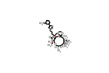 B[C@@H]1[C@@H](C)C(=O)[C@@H](C)C(=O)O[C@H](CC)[C@@]2(C)OC(=O)N(CCCCn3cc(-c4cccc(N)c4)nn3)[C@@H]2[C@@H](CCN2CCOCC2)NC[C@H](C)C[C@@]1(C)OC